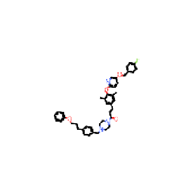 Cc1cc(C=CC(=O)N2CCN(Cc3ccc(C=CCOc4ccccc4)cc3)CC2)cc(C)c1Oc1ccc(OCc2ccc(F)cc2)cn1